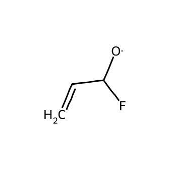 C=CC([O])F